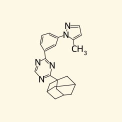 Cc1ccnn1-c1cccc(-c2ncnc(C34CC5CC(CC(C5)C3)C4)n2)c1